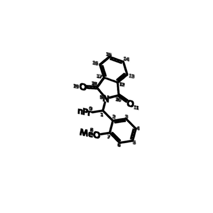 [CH2]CCC(c1ccccc1OC)N1C(=O)c2ccccc2C1=O